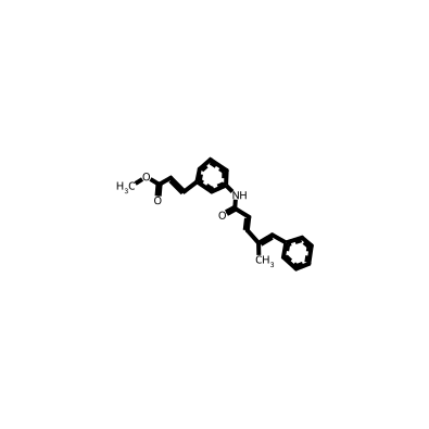 COC(=O)C=Cc1cccc(NC(=O)C=CC(C)=Cc2ccccc2)c1